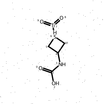 O=C(O)NC1C[SH]([Ti](=[O])=[O])C1